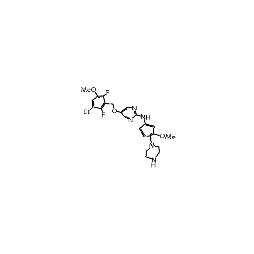 CCc1cc(OC)c(F)c(COc2cnc(Nc3ccc(N4CCNCC4)c(OC)c3)nc2)c1F